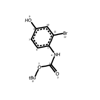 CC(C)(C)OC(=O)Nc1ccc(O)cc1Br